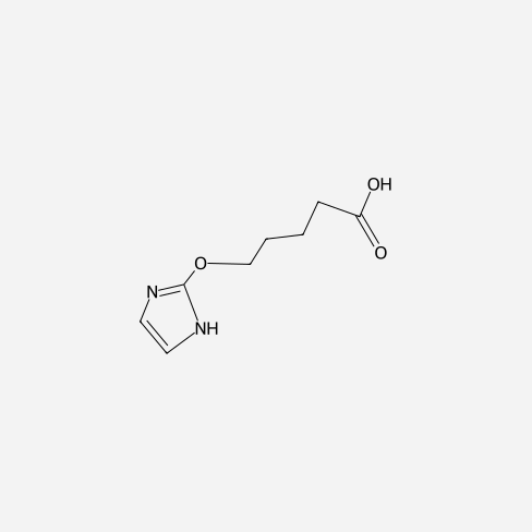 O=C(O)CCCCOc1ncc[nH]1